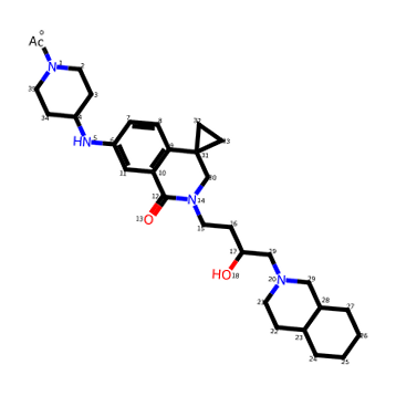 CC(=O)N1CCC(Nc2ccc3c(c2)C(=O)N(CCC(O)CN2CCC4CCCCC4C2)CC32CC2)CC1